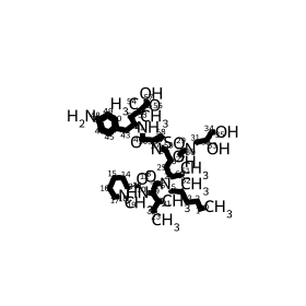 CCCCCCN(C(=O)C(NC(=O)[C@H]1CCCCN1C)C(C)CC)C(CC(OC(=O)NCC(O)CO)c1nc(C(=O)NC(Cc2ccc(N)cc2)CC(C)(C)C(=O)O)cs1)C(C)C